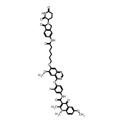 COc1ccc2c(c1)c(=O)c(C(=O)Nc1ccc(Oc3ncnc4cc(OCCCCCC(=O)Nc5ccc6c(c5)CN(C5CCC(=O)NC5=O)C6=O)c(OC)cc34)c(F)c1)c(C)n2C